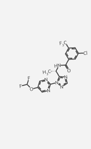 C[C@H](NC(=O)c1cc(Cl)cc(C(F)(F)F)c1)c1ncnn1-c1ncc(OC(F)F)cn1